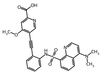 COc1cc(C(=O)O)ncc1C#Cc1ccccc1NS(=O)(=O)c1cccc2c(N(C)C)ccnc12